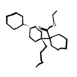 CCCC[C@]1(C2(C(=O)OCC)CCCCC2)CC[C@@H](C2CCCCC2)CC1